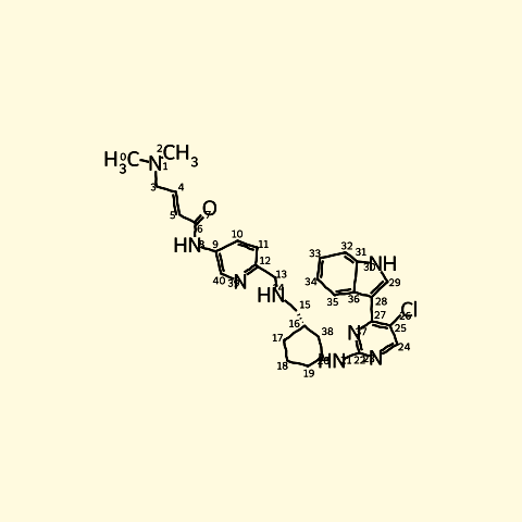 CN(C)C/C=C/C(=O)Nc1ccc(CNC[C@H]2CCC[C@@H](Nc3ncc(Cl)c(-c4c[nH]c5ccccc45)n3)C2)nc1